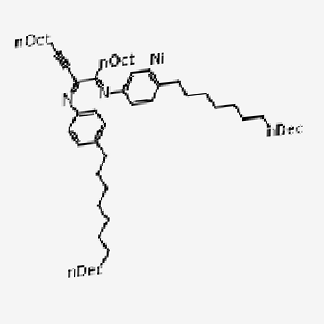 CCCCCCCCC#CC(=Nc1ccc(CCCCCCCCCCCCCCCCC)cc1)C(CCCCCCCC)=Nc1ccc(CCCCCCCCCCCCCCCCC)cc1.[Ni]